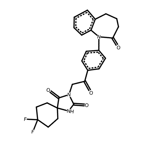 O=C(CN1C(=O)NC2(CCC(F)(F)CC2)C1=O)c1ccc(N2C(=O)CCCc3ccccc32)cc1